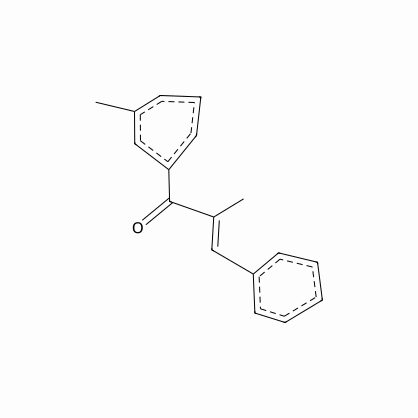 C/C(=C\c1ccccc1)C(=O)c1cccc(C)c1